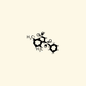 Cc1ccc(C)c2c1C(S(=O)(=O)c1ccccc1)CS2(=O)=O